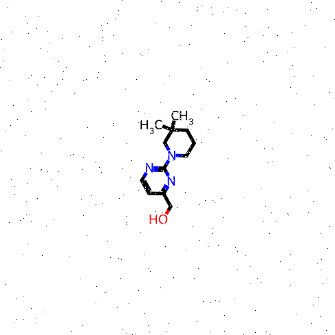 CC1(C)CCCN(c2nccc(CO)n2)C1